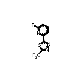 Fc1cccc(-c2nnc(C(F)(F)F)s2)n1